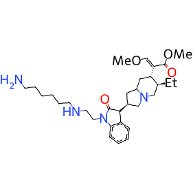 CC[C@H]1CN2C[C@@H](C3C(=O)N(CCNCCCCCCN)c4ccccc43)CC2C[C@@H]1/C(=C\OC)C(=O)OC